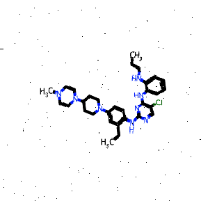 CCCNc1ccccc1Nc1nc(Nc2ccc(N3CCC(N4CCN(C)CC4)CC3)cc2CC)ncc1Cl